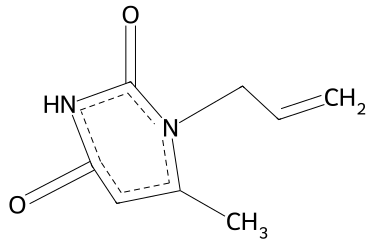 C=CCn1c(C)cc(=O)[nH]c1=O